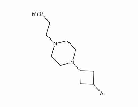 COCCN1CCN(C2CC(C(C)=O)C2)CC1